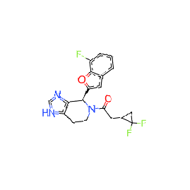 O=C(CC1CC1(F)F)N1CCc2[nH]cnc2[C@H]1c1cc2cccc(F)c2o1